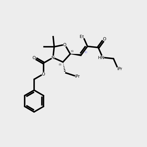 CC/C(=C\[C@@H]1OC(C)(C)N(C(=O)OCc2ccccc2)[C@H]1CC(C)C)C(=O)NCC(C)C